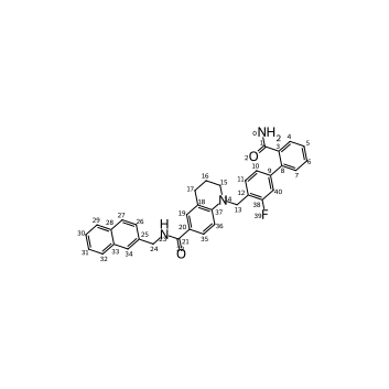 NC(=O)c1ccccc1-c1ccc(CN2CCCc3cc(C(=O)NCc4ccc5ccccc5c4)ccc32)c(F)c1